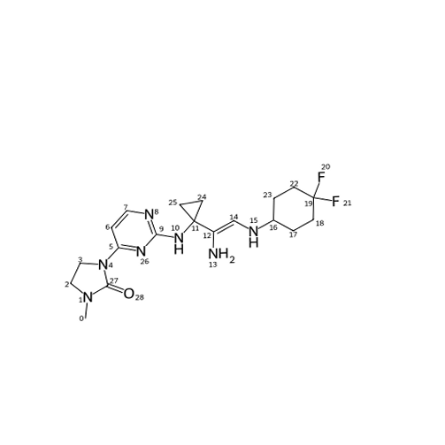 CN1CCN(c2ccnc(NC3(/C(N)=C/NC4CCC(F)(F)CC4)CC3)n2)C1=O